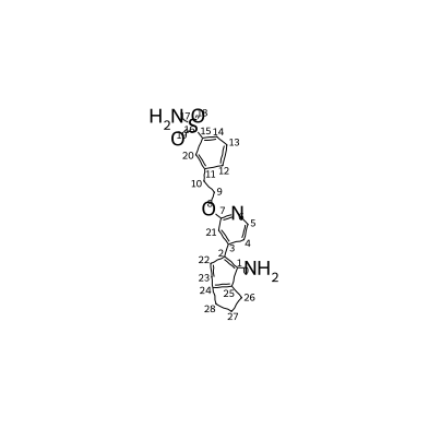 Nc1c(-c2ccnc(OCCc3cccc(S(N)(=O)=O)c3)c2)ccc2c1CCC2